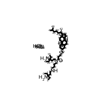 CCC(N)(CC)CCNCCCCN(CCC(N)(CC)CC)C(=O)CCSS[C@H]1CC[C@@]2(C)C(=CC[C@H]3[C@@H]4CC[C@H]([C@H](C)CCCC(C)C)[C@@]4(C)CC[C@@H]32)C1.Cl.Cl.Cl